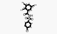 O=C(NS(=O)(=O)c1ccc(Cl)cc1)c1cc(I)cc(I)c1I